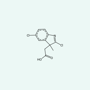 CC1(CC(=O)O)C(Cl)=Nc2ccc(Cl)cc21